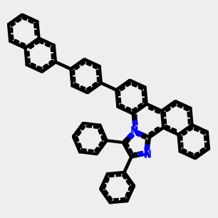 c1ccc(-c2nc3c4c5ccccc5ccc4c4ccc(-c5ccc(-c6ccc7ccccc7c6)cc5)cc4n3c2-c2ccccc2)cc1